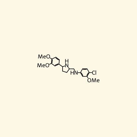 COc1cc(NCC2CCC(c3ccc(OC)c(OC)c3)N2)ccc1Cl